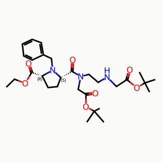 CCOC(=O)[C@H]1CC[C@@H](C(=O)N(CCNCC(=O)OC(C)(C)C)CC(=O)OC(C)(C)C)N1Cc1ccccc1